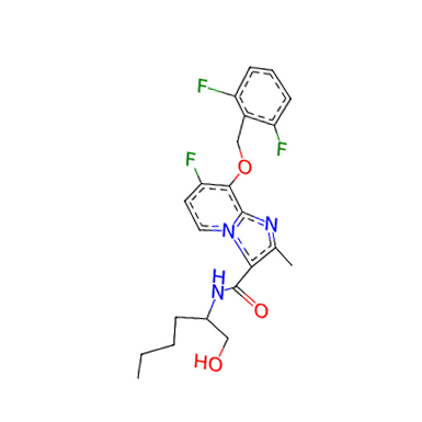 CCCCC(CO)NC(=O)c1c(C)nc2c(OCc3c(F)cccc3F)c(F)ccn12